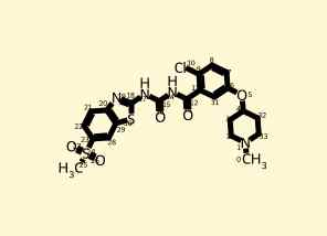 CN1CCC(Oc2ccc(Cl)c(C(=O)NC(=O)Nc3nc4ccc(S(C)(=O)=O)cc4s3)c2)CC1